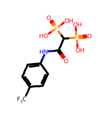 O=C(Nc1ccc(C(F)(F)F)cc1)C(P(=O)(O)O)P(=O)(O)O